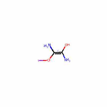 N/C(O)=C(/N)OI